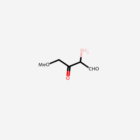 BC(C=O)C(=O)COC